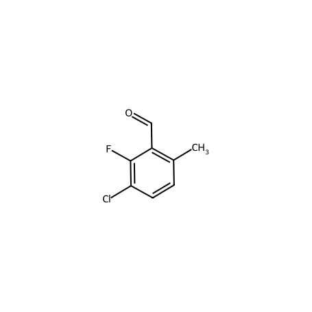 Cc1ccc(Cl)c(F)c1C=O